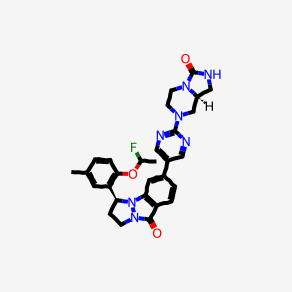 Cc1ccc(OC(C)F)c([C@@H]2CCn3c(=O)c4ccc(-c5cnc(N6CCN7C(=O)NC[C@H]7C6)nc5)cc4n32)c1